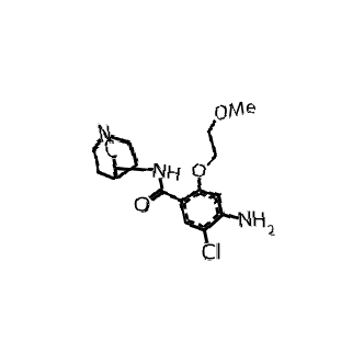 COCCOc1cc(N)c(Cl)cc1C(=O)NC1CN2CCC1CC2